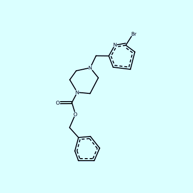 O=C(OCc1ccccc1)N1CCN(Cc2cccc(Br)n2)CC1